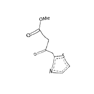 COC(=O)CC(=O)c1nccs1